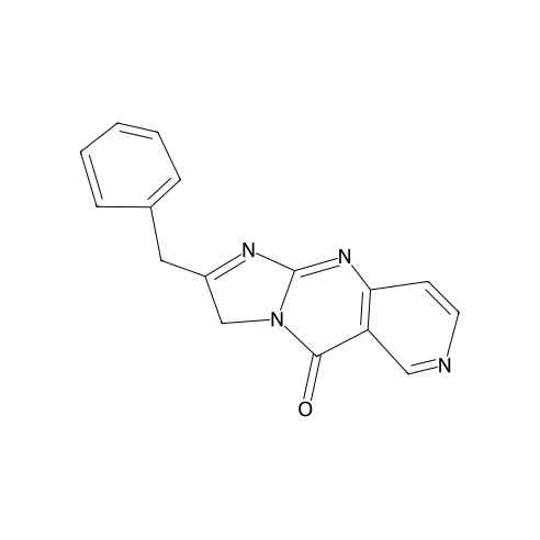 O=c1c2cnccc2nc2n1CC(Cc1ccccc1)=N2